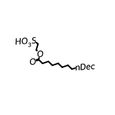 CCCCCCCCCCCCCCCCCC(=O)OCCS(=O)(=O)O